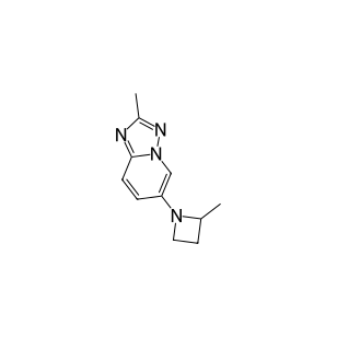 Cc1nc2ccc(N3CCC3C)cn2n1